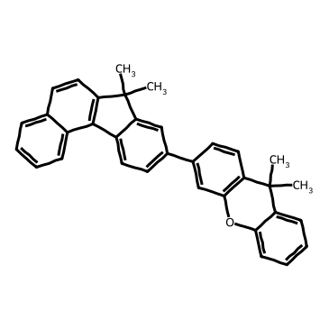 CC1(C)c2ccccc2Oc2cc(-c3ccc4c(c3)C(C)(C)c3ccc5ccccc5c3-4)ccc21